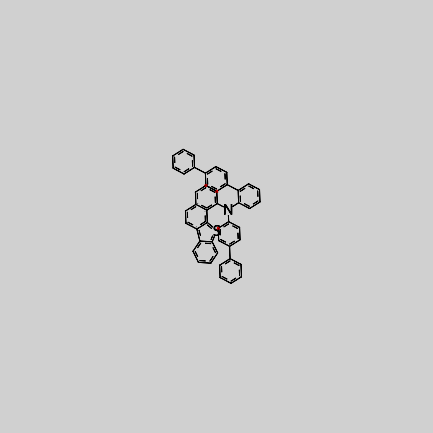 c1ccc(-c2ccc(-c3ccccc3N(c3ccc(-c4ccccc4)cc3)c3cccc4ccc5c6ccccc6sc5c34)cc2)cc1